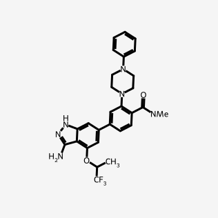 CNC(=O)c1ccc(-c2cc(OC(C)C(F)(F)F)c3c(N)n[nH]c3c2)cc1N1CCN(c2ccccc2)CC1